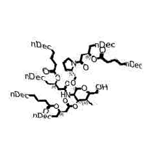 CCCCCCCCCCCCCC(=O)O[C@H](CCCCCCCCCCC)CC(=O)NC1[C@H](OC[C@@H]2CCCN2C(=O)C[C@@H](CCCCCCCCCCC)OC(=O)CCCCCCCCCCCCC)OC(CO)[C@@H](C)[C@@H]1OC(=O)C[C@@H](CCCCCCCCCCC)OC(=O)CCCCCCCCCCCCC